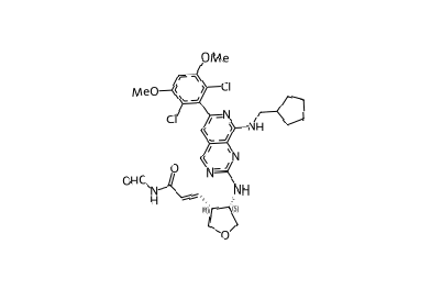 COc1cc(OC)c(Cl)c(-c2cc3cnc(N[C@@H]4COC[C@@H]4C=CC(=O)NC=O)nc3c(NCC3CCCC3)n2)c1Cl